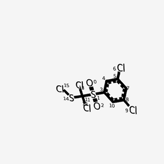 O=S(=O)(c1cc(Cl)cc(Cl)c1)C(Cl)(Cl)SCl